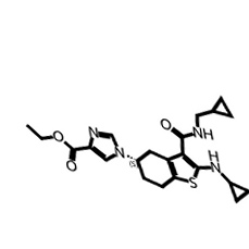 CCOC(=O)c1cn([C@H]2CCc3sc(NC4CC4)c(C(=O)NCC4CC4)c3C2)cn1